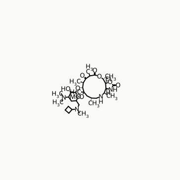 CC[C@]12OC(=O)N[C@@H]1[C@@H](C)NC[C@H](C)C[C@@](C)(OC)[C@H](OC1OC(CN(C)C3CCC3)CC(N(C)C)C1O)[C@@H](C)C(=O)C(C)C(=O)O[C@@H]2C